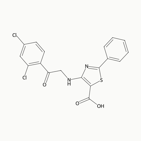 O=C(CNc1nc(-c2ccccc2)sc1C(=O)O)c1ccc(Cl)cc1Cl